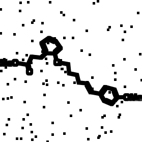 COC(=O)CCc1ccccc1OCCCC/C=C/c1ccc(OC)cc1